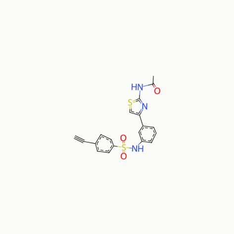 C#Cc1ccc(S(=O)(=O)Nc2cccc(-c3csc(NC(C)=O)n3)c2)cc1